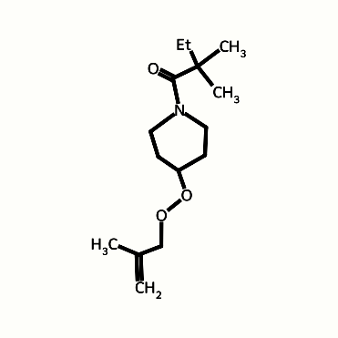 C=C(C)COOC1CCN(C(=O)C(C)(C)CC)CC1